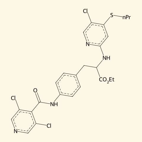 CCCSc1cc(NC(Cc2ccc(NC(=O)c3c(Cl)cncc3Cl)cc2)C(=O)OCC)ncc1Cl